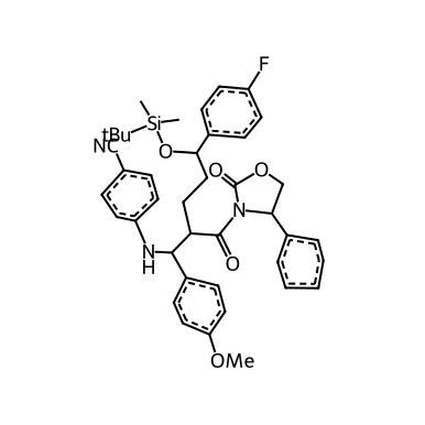 COc1ccc(C(Nc2ccc(C#N)cc2)C(CCC(O[Si](C)(C)C(C)(C)C)c2ccc(F)cc2)C(=O)N2C(=O)OCC2c2ccccc2)cc1